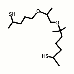 CC(S)CCCOC(C)COC(C)(C)CCCC(C)S